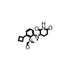 CN(C=O)c1c(C2CCC2)cccc1N(C)C1CCC(=O)NC1=O